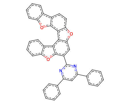 c1ccc(-c2cc(-c3ccccc3)nc(-c3cc4oc5ccc6c7ccccc7oc6c5c4c4c3oc3ccccc34)n2)cc1